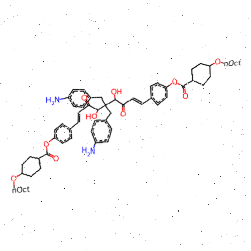 CCCCCCCCOC1CCC(C(=O)Oc2ccc(/C=C/C(=O)C(O)C(Cc3ccc(N)cc3)(Cc3ccc(N)cc3)C(O)C(=O)/C=C/c3ccc(OC(=O)C4CCC(OCCCCCCCC)CC4)cc3)cc2)CC1